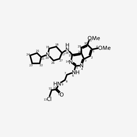 COc1cc2nc(NCCNC(=O)CCl)nc(NC3CCN(C4CCCC4)CC3)c2cc1OC